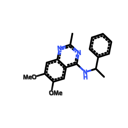 COc1cc2nc(C)nc(NC(C)c3ccccc3)c2cc1OC